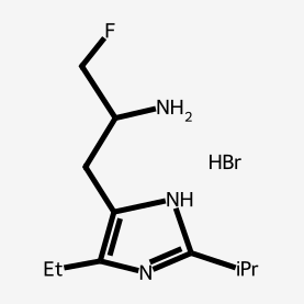 Br.CCc1nc(C(C)C)[nH]c1CC(N)CF